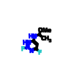 COC(C)NC1=CC(F)=NN(F)N1